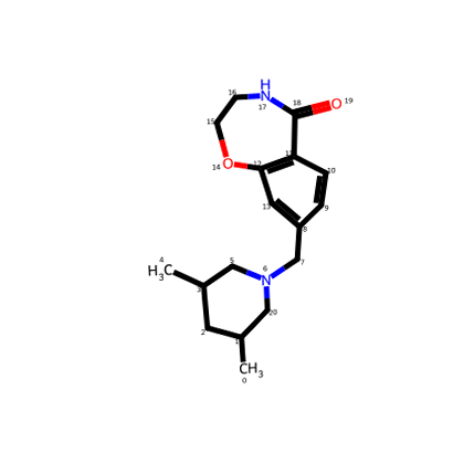 CC1CC(C)CN(Cc2ccc3c(c2)OCCNC3=O)C1